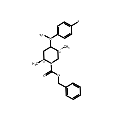 C[C@@H]1CN(C(=O)OCc2ccccc2)[C@@H](C)CC1N(C)c1ccc(F)cc1